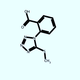 CSc1nnnn1-c1ccccc1C(=O)O